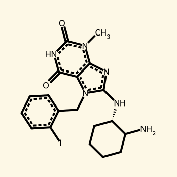 Cn1c(=O)[nH]c(=O)c2c1nc(N[C@H]1CCCCC1N)n2Cc1ccccc1I